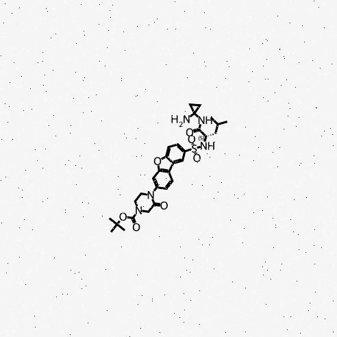 CC(C)C[C@H](NS(=O)(=O)c1ccc2oc3cc(N4CCN(C(=O)OC(C)(C)C)CC4=O)ccc3c2c1)C(=O)NC1(N)CC1